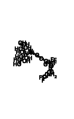 N[C@@H](CC(=O)N1CCn2c(C(F)(F)F)nc(C(=O)OCCOCCOCCn3cc(CN(C[C@H](O)[C@@H](O)[C@H](O)[C@H](O)CO)C[C@H](O)[C@@H](O)[C@H](O)[C@H](O)CO)nn3)c2C1)Cc1cc(F)c(F)cc1F